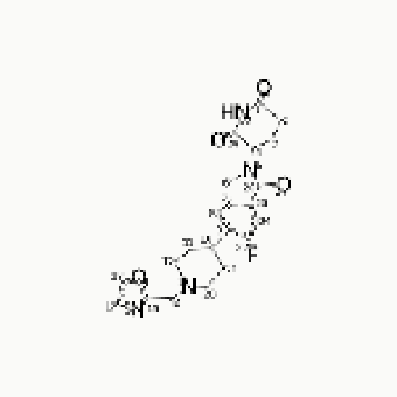 O=C1CCC(N2Cc3cc(C4CCN(Cc5ncco5)CC4)c(F)cc3C2=O)C(=O)N1